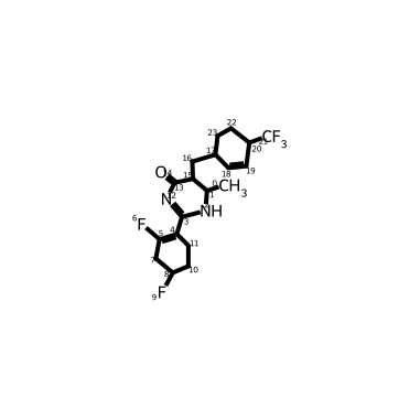 CC1NC(C2=C(F)CC(F)CC2)=NC(=O)C1CC1C=CC(C(F)(F)F)CC1